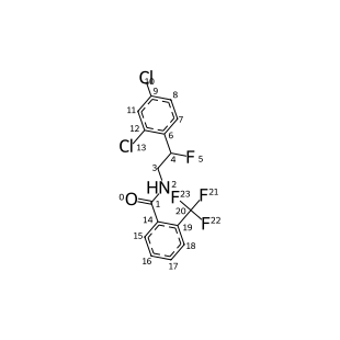 O=C(NCC(F)c1ccc(Cl)cc1Cl)c1ccccc1C(F)(F)F